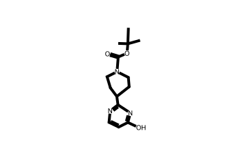 CC(C)(C)OC(=O)N1CCC(c2nccc(O)n2)CC1